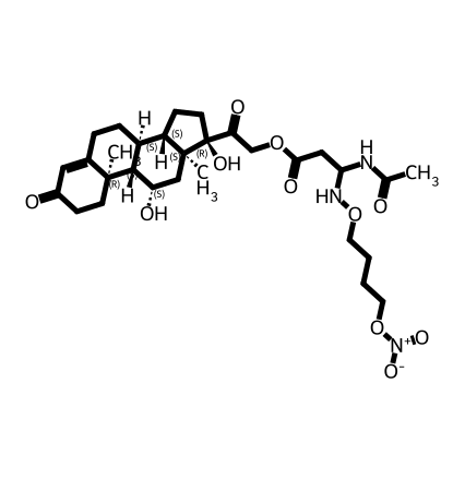 CC(=O)NC(CC(=O)OCC(=O)[C@@]1(O)CC[C@H]2[C@@H]3CCC4=CC(=O)CC[C@]4(C)[C@H]3[C@@H](O)C[C@@]21C)NOCCCCO[N+](=O)[O-]